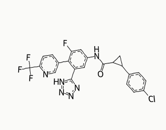 O=C(Nc1cc(F)c(-c2ccc(C(F)(F)F)nc2)c(-c2nnn[nH]2)c1)C1CC1c1ccc(Cl)cc1